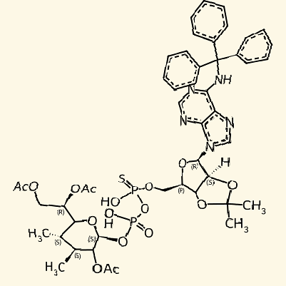 CC(=O)OC[C@@H](OC(C)=O)C1O[C@@H](OP(=O)(O)OP(O)(=S)OC[C@H]2O[C@@H](n3cnc4c(NC(c5ccccc5)(c5ccccc5)c5ccccc5)ncnc43)[C@H]3OC(C)(C)OC23)C(OC(C)=O)[C@@H](C)[C@@H]1C